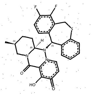 C[C@H]1CC[C@@H]2N(C1)C(=O)c1c(O)c(=O)ccn1N2[C@@H]1c2ccccc2SCc2c1ccc(F)c2F